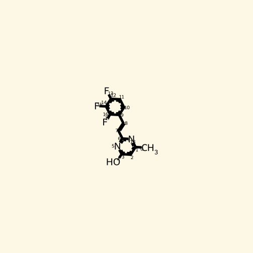 Cc1cc(O)nc(C=Cc2ccc(F)c(F)c2F)n1